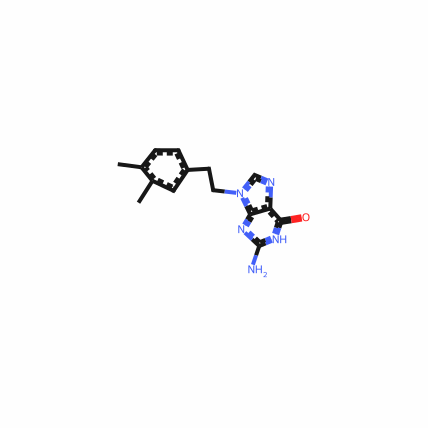 Cc1ccc(CCn2cnc3c(=O)[nH]c(N)nc32)cc1C